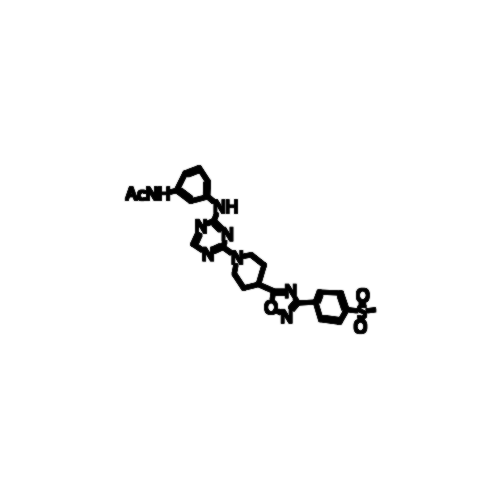 CC(=O)Nc1cccc(Nc2ncnc(N3CCC(c4nc(-c5ccc(S(C)(=O)=O)cc5)no4)CC3)n2)c1